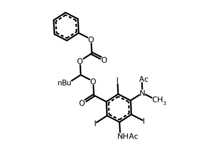 CCCCC(OC(=O)Oc1ccccc1)OC(=O)c1c(I)c(NC(C)=O)c(I)c(N(C)C(C)=O)c1I